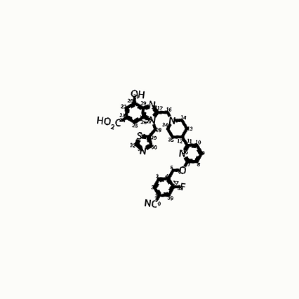 N#Cc1ccc(COc2cccc(C3CCN(Cc4nc5c(O)cc(C(=O)O)cc5n4Cc4cncs4)CC3)n2)c(F)c1